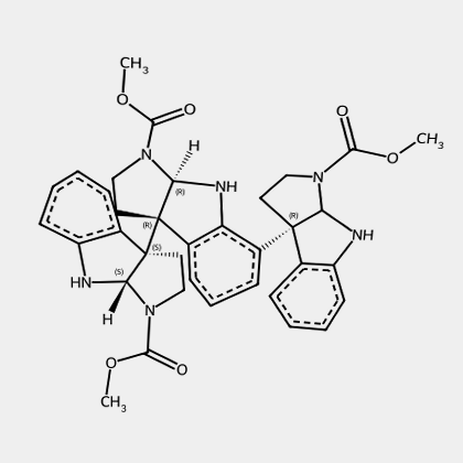 COC(=O)N1CC[C@]2(c3cccc4c3N[C@@H]3N(C(=O)OC)CC[C@]43[C@@]34CCN(C(=O)OC)[C@@H]3Nc3ccccc34)c3ccccc3NC12